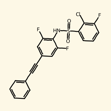 O=S(=O)(Nc1c(F)cc(C#Cc2ccccc2)cc1F)c1cccc(F)c1Cl